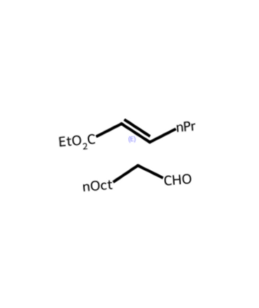 CCC/C=C/C(=O)OCC.CCCCCCCCCC=O